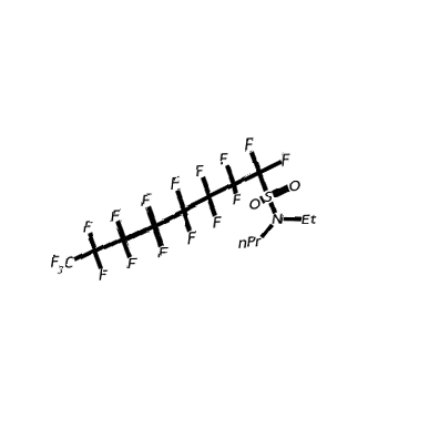 [CH2]CCN(CC)S(=O)(=O)C(F)(F)C(F)(F)C(F)(F)C(F)(F)C(F)(F)C(F)(F)C(F)(F)C(F)(F)F